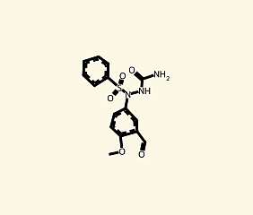 COc1ccc(N(NC(N)=O)S(=O)(=O)c2ccccc2)cc1C=O